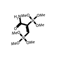 CO[Si](C=C(C(N)=O)[Si](OC)(OC)OC)(OC)OC